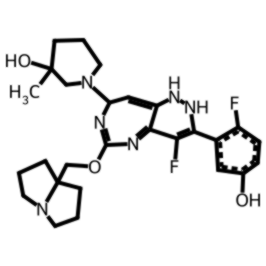 CC1(O)CCCN(C2C=C3NNC(c4cc(O)ccc4F)=C(F)C3=NC(OCC34CCCN3CCC4)=N2)C1